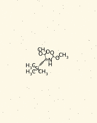 COC(=O)N[C@@H](C#C[Si](C)(C)C)C(=O)OC